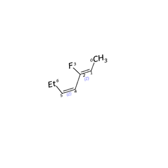 C/C=C(F)/C=C\CC